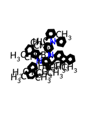 Cc1ccccc1N(c1ccc2c(c1)N(c1ccc3c(c1C(C)(C)C)C(C)(C)c1ccccc1-3)c1cc(C(C)(C)C)cc3c1B2c1cc2c(cc1N3c1ccc3c(c1)C(C)(C)CCC3(C)C)C(C)(C)CCC2(C)C)c1ccccc1C